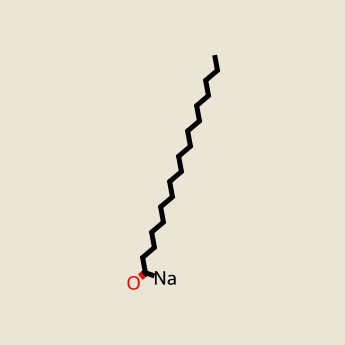 CCCCCCCCCCCCCCCCC[C](=O)[Na]